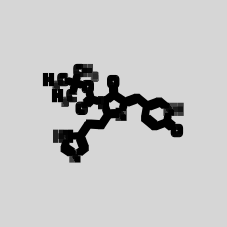 CC(C)(C)OC(=O)N1C(=O)/C(=C/c2ccc(=O)[nH]c2)N=C1/C=C/c1cnc[nH]1